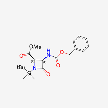 COC(=O)[C@H]1[C@@H](NC(=O)OCc2ccccc2)C(=O)N1[Si](C)(C)C(C)(C)C